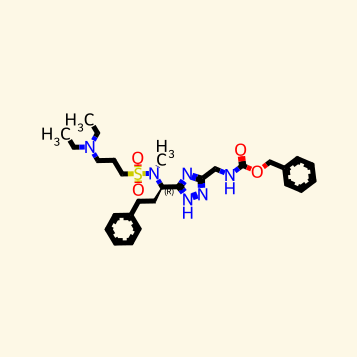 CCN(CC)CCCS(=O)(=O)N(C)[C@H](CCc1ccccc1)c1nc(CNC(=O)OCc2ccccc2)n[nH]1